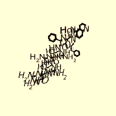 N=C(N)NC(NC(=O)C(NC(=N)N)NC(=O)C(NC(=N)N)NC(=O)C(NC(=N)N)NC(=O)C(NC(=O)C(O)N(C/C=C\c1ccccc1)c1ccc2ncccc2c1N)c1ccccc1)C(N)=O